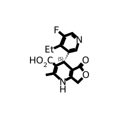 CCc1c(F)cncc1[C@H]1C(C(=O)O)=C(C)NC2=C1C(=O)OC2